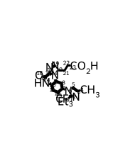 CCc1nc(C)cn1-c1cc2c(cc1C(F)(F)F)[nH]c(=O)c1nnc(CCC(=O)O)n12